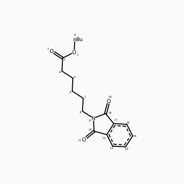 CCCCOC(=O)CCCCCN1C(=O)c2ccccc2C1=O